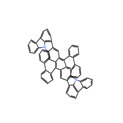 c1ccc(-c2ccccc2-c2c3cc4c5cccc6c7ccccc7n(c4cc3c(-c3ccccc3-c3ccccc3)c3cc4c7cccc8c9ccccc9n(c4cc23)c87)c65)cc1